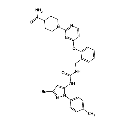 Cc1ccc(-n2nc(C(C)(C)C)cc2NC(=O)NCc2ccccc2Oc2ccnc(N3CCC(C(N)=O)CC3)n2)cc1